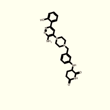 Nc1nnc(-c2ccccc2O)cc1N1CCN(Cc2cccc(NC3CCC(=O)NC3=O)c2)CC1